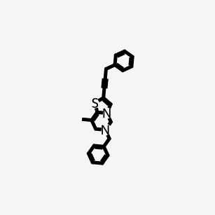 CC1=C2SC(C#CCc3ccccc3)=CN2CN(Cc2ccccc2)C1